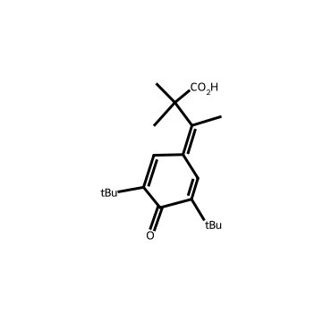 CC(=C1C=C(C(C)(C)C)C(=O)C(C(C)(C)C)=C1)C(C)(C)C(=O)O